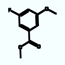 COC(=O)c1cc(F)cc(OC)c1